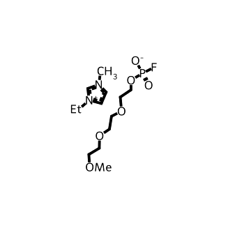 CC[n+]1ccn(C)c1.COCCOCCOCCOP(=O)([O-])F